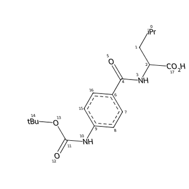 CC(C)CC(NC(=O)c1ccc(NC(=O)OC(C)(C)C)cc1)C(=O)O